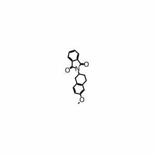 COc1ccc2c(c1)CCC(N1C(=O)c3ccccc3C1=O)C2